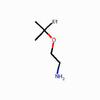 CCC(C)(C)OCCN